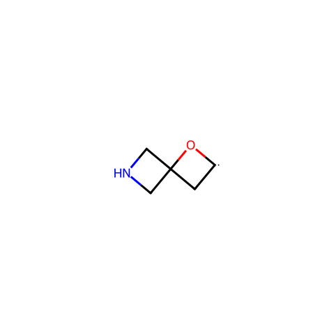 [CH]1CC2(CNC2)O1